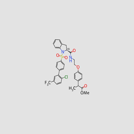 COC(=O)C(C)c1ccc(OCCNC(=O)[C@@H]2Cc3ccccc3N2S(=O)(=O)c2ccc(-c3cc(C(F)(F)F)ccc3Cl)cc2)cc1